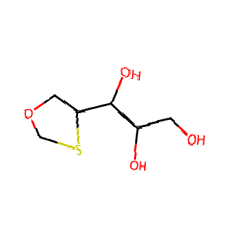 OCC(O)C(O)C1COCS1